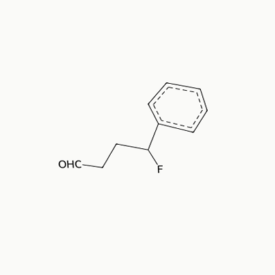 O=CCCC(F)c1ccccc1